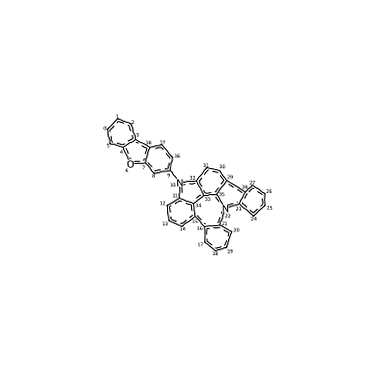 c1ccc2c(c1)oc1cc(-n3c4cccc5c6ccccc6n6c7ccccc7c7ccc3c(c54)c76)ccc12